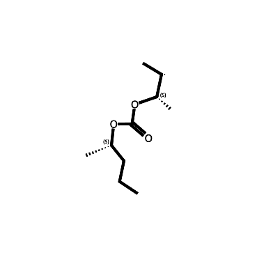 C[CH][C@H](C)OC(=O)O[C@@H](C)CCC